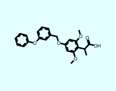 COc1cc(OCc2cccc(Oc3ccccc3)c2)cc(OC)c1C(C)C(=O)O